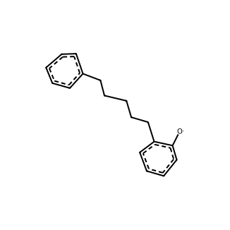 [O]c1ccccc1CCCCCc1ccccc1